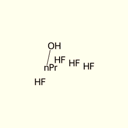 CCCO.F.F.F.F